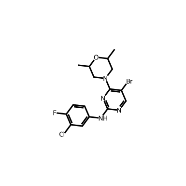 CC1CN(c2nc(Nc3ccc(F)c(Cl)c3)ncc2Br)CC(C)O1